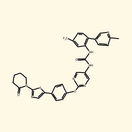 Cc1ccc(-c2ccc(C(F)(F)F)cc2NC(=O)Nc2cnc(Oc3ccc(-c4cnc(N5CCCCC5=O)s4)cc3)nc2)cn1